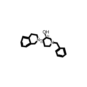 O[C@H]1CN(Cc2ccccc2)CC[C@@H]1N1CCc2ccccc2C1